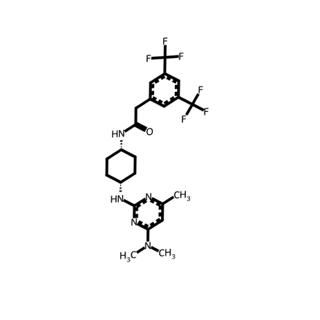 Cc1cc(N(C)C)nc(N[C@H]2CC[C@@H](NC(=O)Cc3cc(C(F)(F)F)cc(C(F)(F)F)c3)CC2)n1